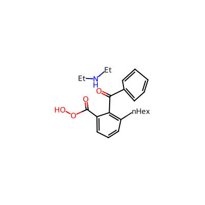 CCCCCCc1cccc(C(=O)OO)c1C(=O)c1ccccc1.CCNCC